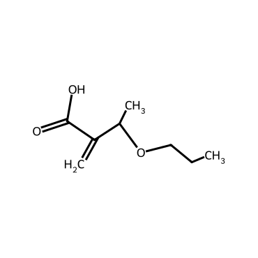 C=C(C(=O)O)C(C)OCCC